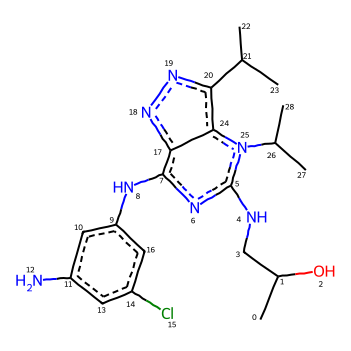 CC(O)CNc1nc(Nc2cc(N)cc(Cl)c2)c2nnc(C(C)C)c-2n1C(C)C